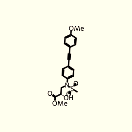 COC(=O)[C@@H](O)CN(c1ccc(C#Cc2ccc(OC)cc2)cc1)S(C)(=O)=O